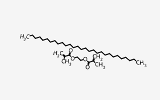 C=C(C)C(=O)OCCOC(=O)C(=C)C.CCCCCCCCCCCCCCCCCCCCCCCCCCCCC